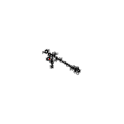 CC(C)(C)[C@H](c1cc(-c2cc(F)ccc2F)cn1Cc1ccccc1)N(CCC(=O)NC(=O)OCC[Si](C)(C)C)C(=O)CCC(=O)NCCOCCOCCOCCOCC(=O)NC(=O)C(=O)N1C(=O)C=CC1=O